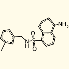 Cc1cccc(CNS(=O)(=O)c2cccc3c(N)cccc23)c1